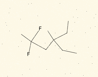 CCC(C)(CC)CC(C)(F)F